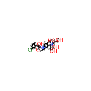 C[C@H](Cc1ccc(C[C@@H](C)N(C[C@H](O)CO)C[C@H](O)CO)cc1)NC(=O)[C@H](O)c1cccc(Cl)c1